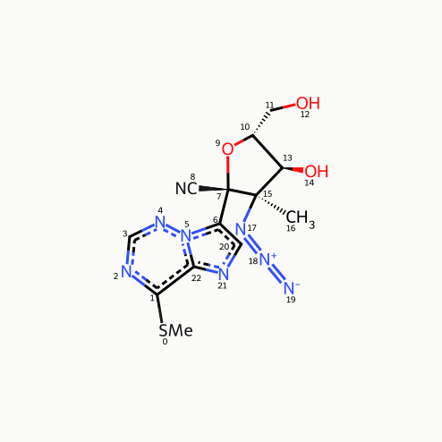 CSc1ncnn2c([C@]3(C#N)O[C@H](CO)[C@@H](O)[C@@]3(C)N=[N+]=[N-])cnc12